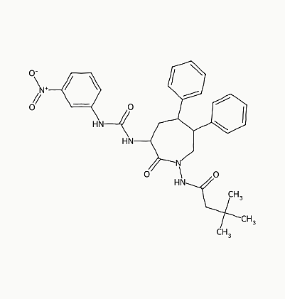 CC(C)(C)CC(=O)NN1CC(c2ccccc2)C(c2ccccc2)CC(NC(=O)Nc2cccc([N+](=O)[O-])c2)C1=O